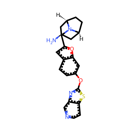 N[C@H]1C[C@H]2CC[C@@H](C1)N2Cc1cc2ccc(Oc3nc4cnccc4s3)cc2o1